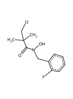 CC(C)(CCl)C(=O)N(O)Cc1ccccc1F